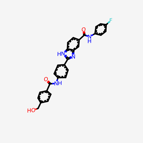 O=C(Nc1ccc(-c2nc3cc(C(=O)Nc4ccc(F)cc4)ccc3[nH]2)cc1)c1ccc(CO)cc1